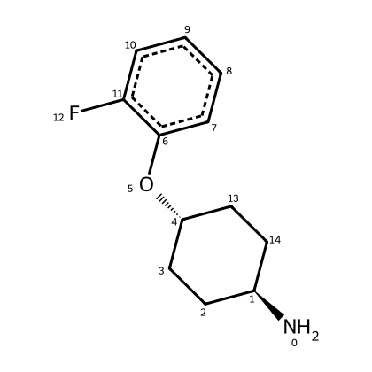 N[C@H]1CC[C@H](Oc2ccccc2F)CC1